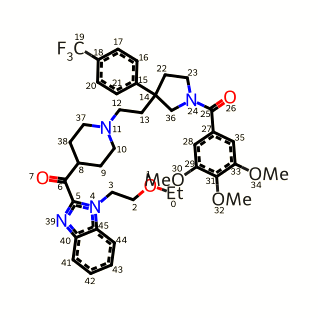 CCOCCn1c(C(=O)C2CCN(CCC3(c4ccc(C(F)(F)F)cc4)CCN(C(=O)c4cc(OC)c(OC)c(OC)c4)C3)CC2)nc2ccccc21